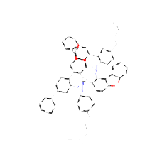 CCCCc1ccc(N2B3c4ccc5oc6ccccc6c5c4N(c4ccc(CCCC)cc4-c4ccccc4)c4cc(-c5ccccc5)cc(c43)-c3ccc(-c4ccccc4)cc32)cc1